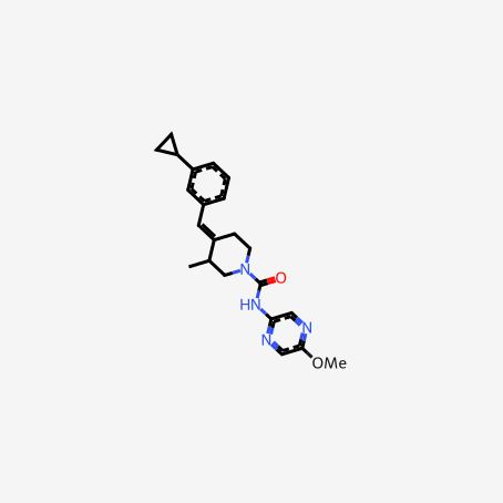 COc1cnc(NC(=O)N2CCC(=Cc3cccc(C4CC4)c3)C(C)C2)cn1